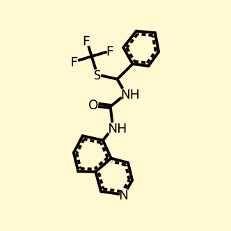 O=C(Nc1cccc2cnccc12)NC(SC(F)(F)F)c1ccccc1